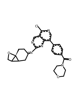 O=C(c1ccc(-c2cnc(Cl)c3cnc(N[C@@H]4CC[C@]56OCC5C6C4)nc23)cc1)N1CCOCC1